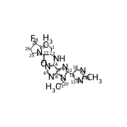 CC[C@@H](Nc1ncnc2c1nc(-c1cnc(C)nc1)n2CC)C(=O)N1CC[C@@H](F)C1